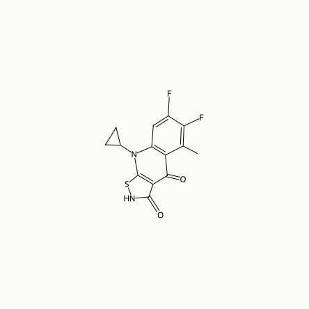 Cc1c(F)c(F)cc2c1c(=O)c1c(=O)[nH]sc1n2C1CC1